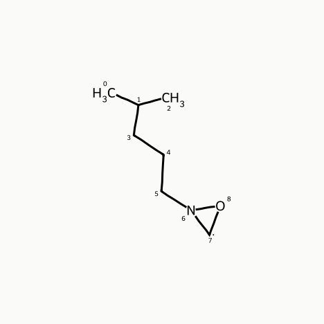 CC(C)CCCN1[CH]O1